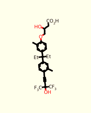 CCC(CC)(c1ccc(C#CC(O)(C(F)(F)F)C(F)(F)F)c(C)c1)c1ccc(OCC(O)CC(=O)O)c(C)c1